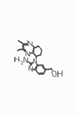 Cc1nc2c(nc1C)C(n1c(N)nc3ccc(CO)cc31)CCC2